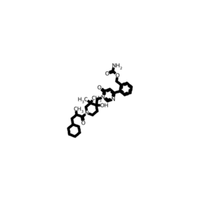 CC(CC1CCCCC1)C(=O)N1CCC(O)(Cn2cnc(-c3ccccc3COC(N)=O)cc2=O)C(C)(C)C1